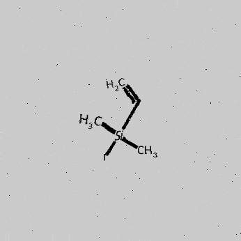 C=C[Si](C)(C)I